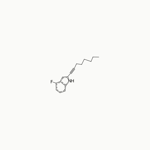 CCCCCCC#Cc1cc2c(F)cccc2[nH]1